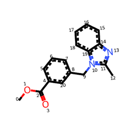 COC(=O)c1cccc(Cn2c(C)nc3ccccc32)c1